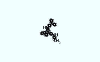 Cc1ccc(Nc2ccc(N(c3ccc(Nc4ccc(N(c5ccccc5)c5ccccc5)cc4)cc3)c3cccc4c3ccc3ccccc34)cc2)cc1